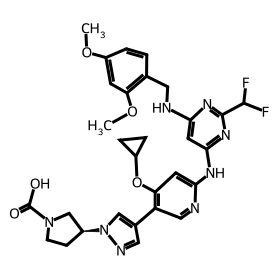 COc1ccc(CNc2cc(Nc3cc(OC4CC4)c(-c4cnn([C@H]5CCN(C(=O)O)C5)c4)cn3)nc(C(F)F)n2)c(OC)c1